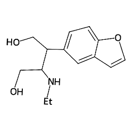 CCNC(CO)C(CO)c1ccc2occc2c1